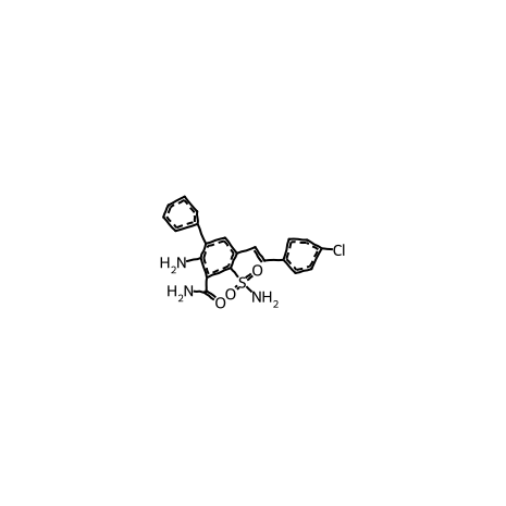 NC(=O)c1c(N)c(-c2ccccc2)cc(/C=C/c2ccc(Cl)cc2)c1S(N)(=O)=O